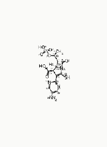 C[C@H](OS(=O)(=O)O)[C@@H]1C(=O)N2C(S)=C(c3ncc(N)cn3)C(C(=O)O)[C@@H]12